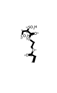 C=CC(=O)OCCOC(=O)C(CC(=O)O)S(=O)(=O)O